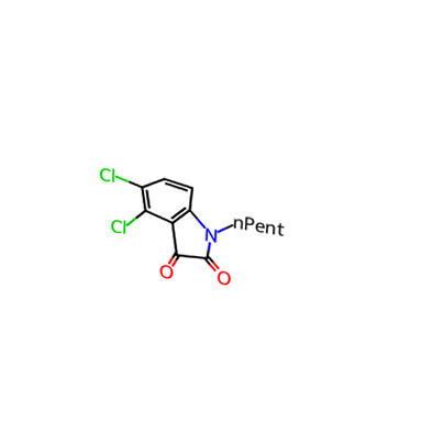 CCCCCN1C(=O)C(=O)c2c1ccc(Cl)c2Cl